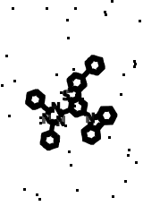 c1ccc(-c2ccc3sc4c(-c5nc(-c6ccccc6)nc(-c6ccccc6)n5)cc(-n5c6ccccc6c6ccccc65)cc4c3c2)cc1